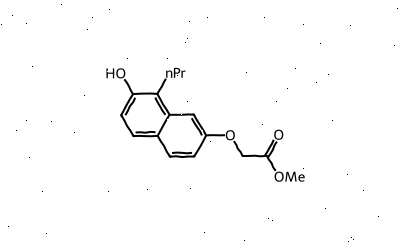 CCCc1c(O)ccc2ccc(OCC(=O)OC)cc12